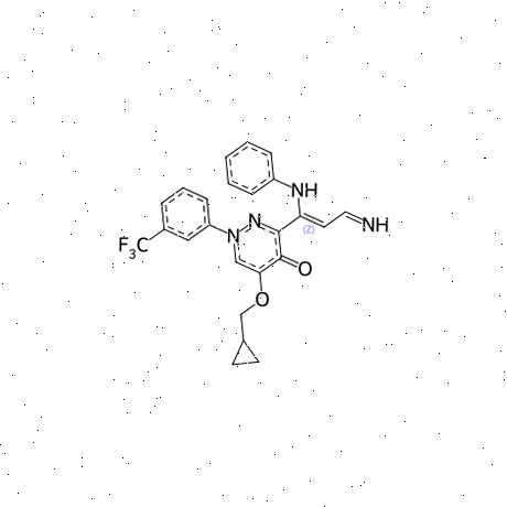 N=C/C=C(\Nc1ccccc1)c1nn(-c2cccc(C(F)(F)F)c2)cc(OCC2CC2)c1=O